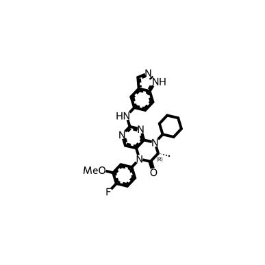 COc1cc(N2C(=O)[C@@H](C)N(C3CCCCC3)c3nc(Nc4ccc5[nH]ncc5c4)ncc32)ccc1F